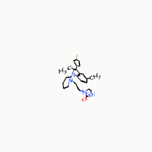 Cc1ccc2c(c1)c(-c1ccc(F)cc1)c(C)n2C1CCCCN1CCN1CCNC1=O